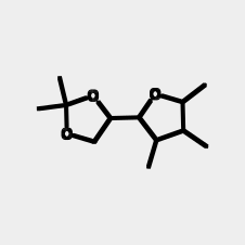 CC1OC(C2COC(C)(C)O2)C(C)C1C